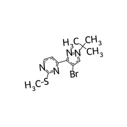 CSc1nccc(-c2nn(C(C)(C)C)cc2Br)n1